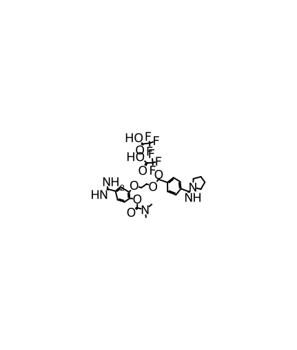 CN(C)C(=O)Oc1ccc(C(=N)N)cc1OCCOC(=O)c1ccc(C(=N)N2CCCC2)cc1.O=C(O)C(F)(F)F.O=C(O)C(F)(F)F